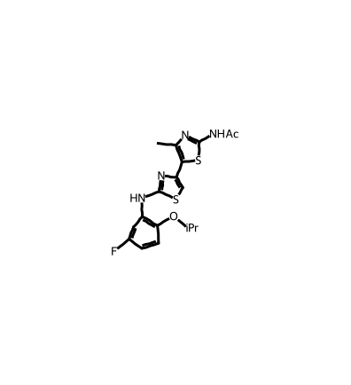 CC(=O)Nc1nc(C)c(-c2csc(Nc3cc(F)ccc3OC(C)C)n2)s1